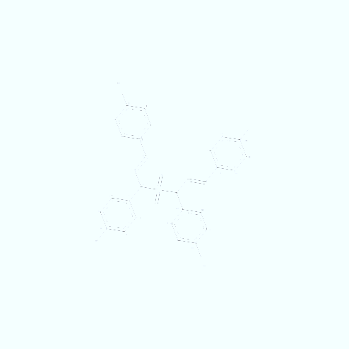 O=S(=O)(C(C=Cc1ccc(F)cc1)c1ccc(I)cc1)C(C=Cc1ccc(F)cc1)c1ccc(I)cc1